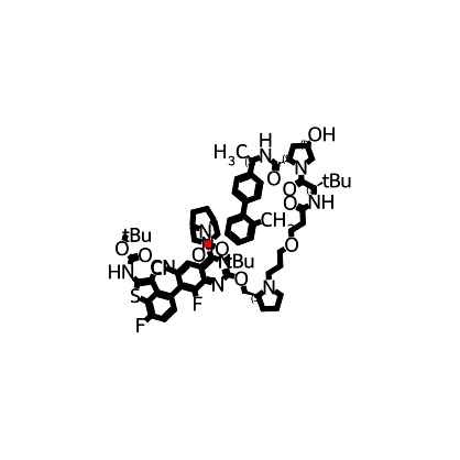 Cc1ccccc1-c1ccc([C@H](C)NC(=O)[C@@H]2C[C@@H](O)CN2C(=O)[C@@H](NC(=O)CCOCCCN2CCC[C@H]2COc2nc(N3CC4CCC(C3)N4C(=O)OC(C)(C)C)c3cc(Cl)c(-c4ccc(F)c5sc(NC(=O)OC(C)(C)C)c(C#N)c45)c(F)c3n2)C(C)(C)C)cc1